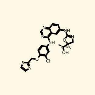 C[C@H](O)[C@]1(C)CN=C(Nc2ccc3ncnc(Nc4ccc(OCc5nccs5)c(Cl)c4)c3c2)O1